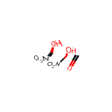 C=O.O=[N+]([O-])O.O=[N+]([O-])O